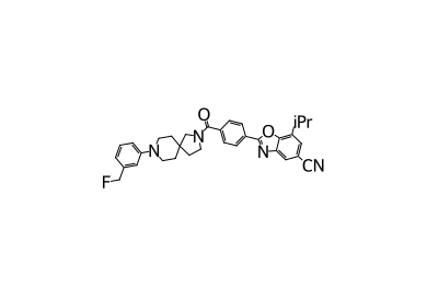 CC(C)c1cc(C#N)cc2nc(-c3ccc(C(=O)N4CCC5(CCN(c6cccc(CF)c6)CC5)C4)cc3)oc12